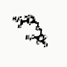 CC(=O)c1nc(COCc2oc(=O)oc2C)c[nH]1